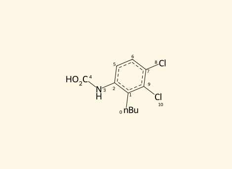 CCCCc1c(NC(=O)O)ccc(Cl)c1Cl